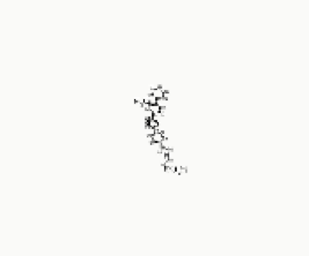 O=C(O)CCN1CC(c2ccc(-c3nnc(-c4ccc(C5CCCCC5)c(C(F)(F)F)c4)o3)cc2)C1